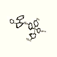 CC(C)(C)c1ccc([P+](c2ccc(C(C)(C)C)cc2)(c2ccc(C(C)(C)C)cc2)c2ccc(C(C)(C)C)cc2)cc1.[O-]c1cccc(-c2ccccc2)c1-c1ccccc1